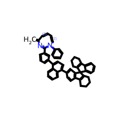 C=C1/C=C\C=C/N(c2ccccc2)/C(c2cccc(-c3ccc(-c4ccc5c(c4)C4(C6=C(CCCC6)c6ccccc64)C4=C5CCCC4)c4ccccc34)c2)=N\1